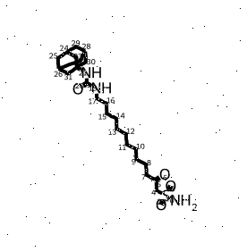 NS(=O)(=O)CC(=O)CCCCCCCCCCCNC(=O)NC12CC3CC(CC(C3)C1)C2